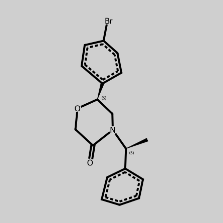 C[C@@H](c1ccccc1)N1C[C@H](c2ccc(Br)cc2)OCC1=O